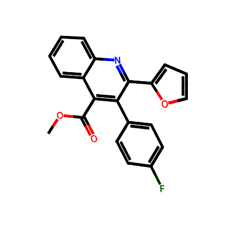 COC(=O)c1c(-c2ccc(F)cc2)c(-c2ccco2)nc2ccccc12